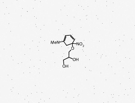 CNC1=CC=CC(OCC(O)CO)([N+](=O)[O-])C1